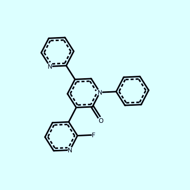 O=c1c(-c2cccnc2F)cc(-c2ccccn2)cn1-c1ccccc1